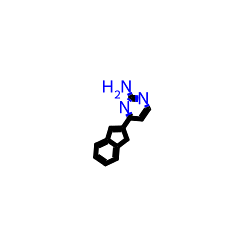 Nc1nccc(C2=Cc3ccccc3C2)n1